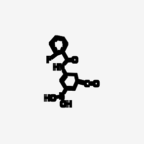 O=C=C1C=C(B(O)O)C=C(NC(=O)c2ccccc2F)C1